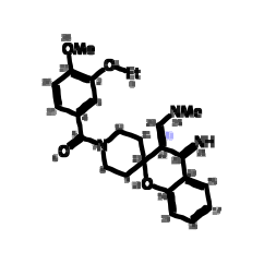 CCOc1cc(C(=O)N2CCC3(CC2)Oc2ccccc2C(=N)/C3=C\NC)ccc1OC